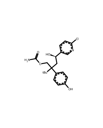 CC(C)(C)C(COC(N)=O)(C[C@@H](O)c1ccc(Cl)nc1)c1ccc(O)cc1